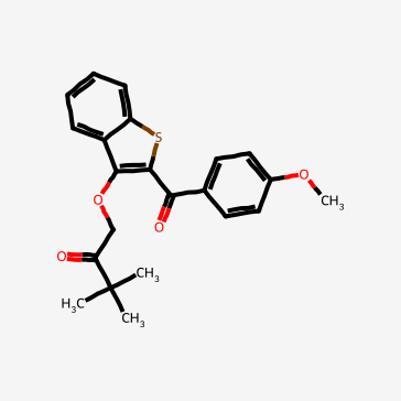 COc1ccc(C(=O)c2sc3ccccc3c2OCC(=O)C(C)(C)C)cc1